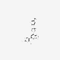 COc1ncc(-c2cc(N3CC(Oc4ccc(C(F)(F)F)cn4)C(F)(F)C3)c3ncnn3n2)c(OC)n1